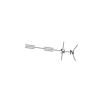 C#CC#C[Si](C)(C)N(C)C